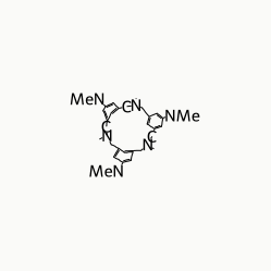 CNc1cc2cc(c1)CN(C)Cc1cc(cc(NC)c1)CN(C)Cc1cc(cc(NC)c1)CN(C)C2